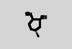 C[C@@H]1CC[C@@H](C(C)(C)C)[C@H](O)C1